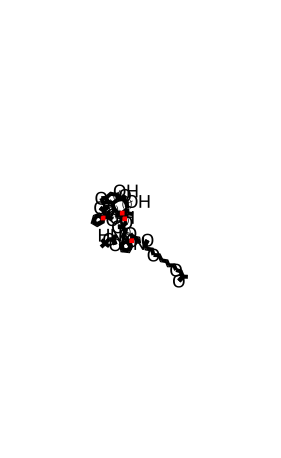 CC(=O)COCCCCCOCCC(=O)NCC(=O)O[C@@H](C(=O)O[C@H]1C[C@@]2(O)[C@@H](OC(=O)c3ccccc3)C3C(C)(C(=O)[C@H](O)C(=C1C)C2(C)C)[C@@H](O)CC1OC[C@]13OC(C)=O)[C@@H](NC(=O)OC(C)(C)C)c1ccccc1